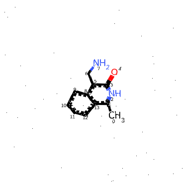 Cc1[nH]c(=O)c(CN)c2ccccc12